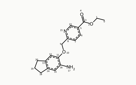 CCOC(=O)c1ccc(COc2cc3c(cc2N)CCC3)nc1